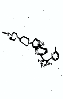 Cc1cccc(-c2[nH]nnc2-c2ccc3ncc(N4CCC(N5CCN(C)CC5)CC4)cc3n2)n1